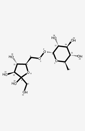 C[C@H]1O[C@H](OOC[C@H]2OC(O)(CO)[C@@H](O)[C@@H]2O)[C@H](O)[C@@H](O)[C@@H]1O